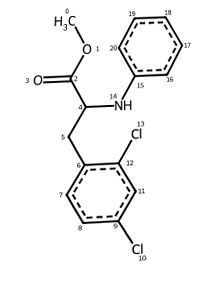 COC(=O)C(Cc1ccc(Cl)cc1Cl)Nc1ccccc1